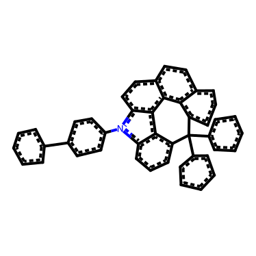 c1ccc(-c2ccc(-n3c4cccc5c4c4c6c(ccc7cccc(c76)C5(c5ccccc5)c5ccccc5)ccc43)cc2)cc1